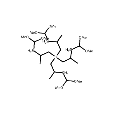 COC(OC)[SiH2]C(C)C[Si](CC(C)[SiH2]C(OC)OC)(CC(C)[SiH2]C(OC)OC)CC(C)[SiH2]C(OC)OC